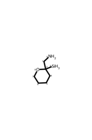 NCC1([SiH3])CCCCO1